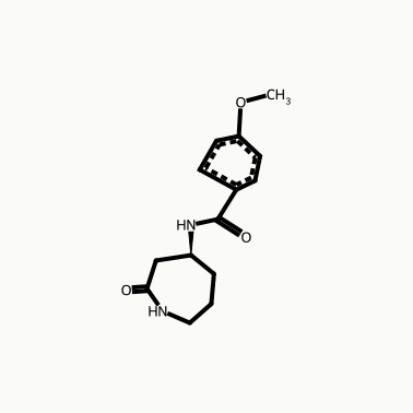 COc1ccc(C(=O)N[C@H]2CCCNC(=O)C2)cc1